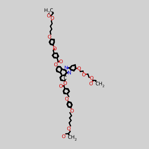 C=CC(=O)OCCCCCCOc1ccc(OCc2ccc(C(=O)Oc3ccc4c5ccc(OC(=O)c6ccc(COc7ccc(OCCCCCCOCC(=C)C=O)cc7)cc6)cc5c5nc6cc(OCCOCCOC(=O)C=C)ccc6nc5c4c3)cc2)cc1